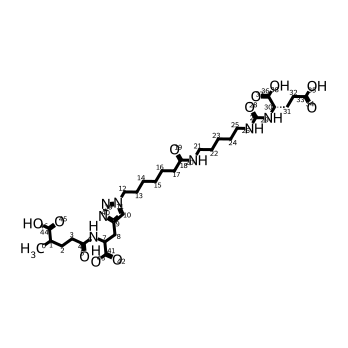 CC(CCC(=O)NC(Cc1cn(CCCCCCC(=O)NCCCCCNC(=O)N[C@@H](CCC(=O)O)C(=O)O)nn1)C(=O)O)C(=O)O